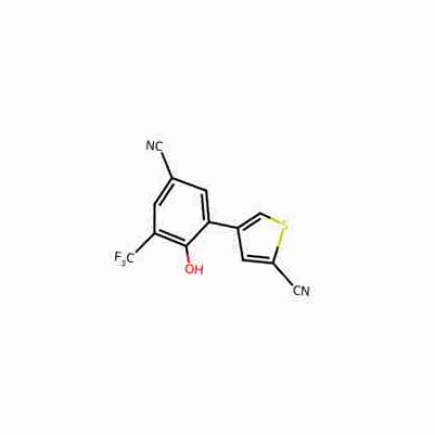 N#Cc1cc(-c2csc(C#N)c2)c(O)c(C(F)(F)F)c1